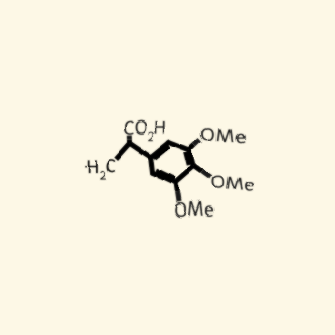 [CH2]C(C(=O)O)c1cc(OC)c(OC)c(OC)c1